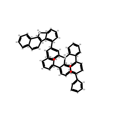 c1ccc(-c2ccc(-c3ccccc3N(c3cccc(-c4cccc5oc6c7ccccc7ccc6c45)c3)c3ccccc3-c3ccccc3)cc2)cc1